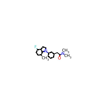 Cc1ccc(F)c2ccn(-c3cccc(CC(=O)N(C)C)c3)c12